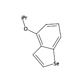 CC(C)Oc1cccc2[se]ccc12